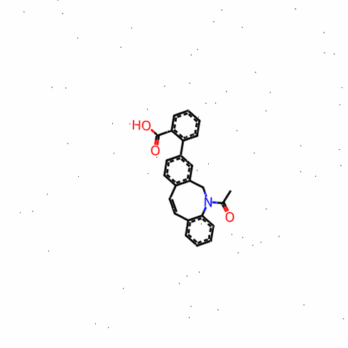 CC(=O)N1Cc2cc(-c3ccccc3C(=O)O)ccc2C=Cc2ccccc21